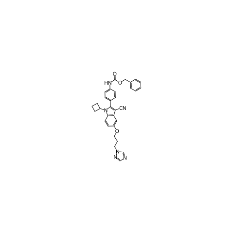 N#Cc1c(-c2ccc(NC(=O)OCc3ccccc3)cc2)n(C2CCC2)c2ccc(OCCCn3cncn3)cc12